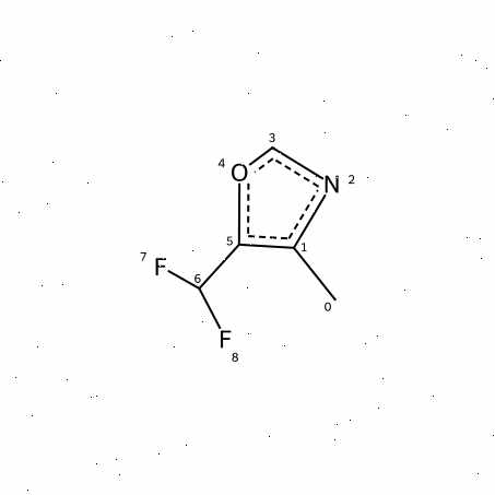 Cc1ncoc1C(F)F